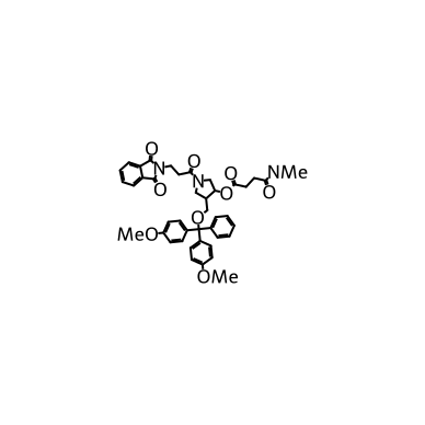 CNC(=O)CCC(=O)OC1CN(C(=O)CCN2C(=O)c3ccccc3C2=O)CC1COC(c1ccccc1)(c1ccc(OC)cc1)c1ccc(OC)cc1